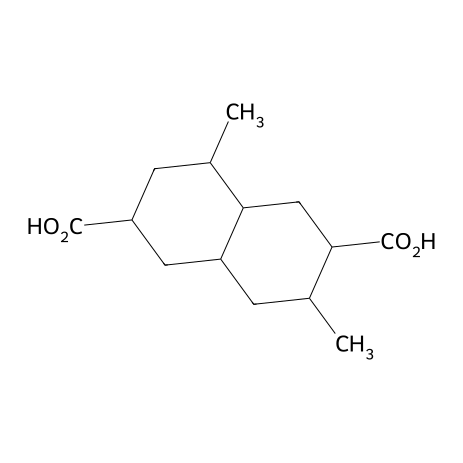 CC1CC2CC(C(=O)O)CC(C)C2CC1C(=O)O